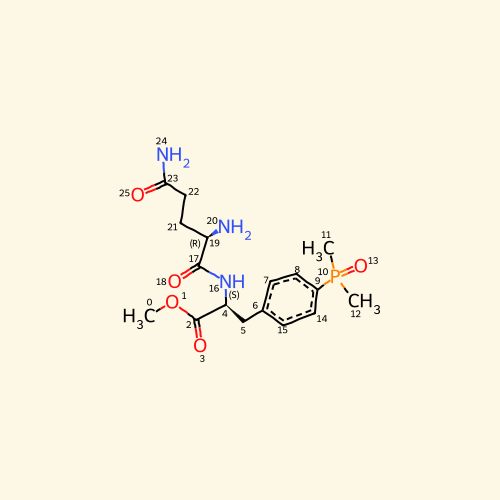 COC(=O)[C@H](Cc1ccc(P(C)(C)=O)cc1)NC(=O)[C@H](N)CCC(N)=O